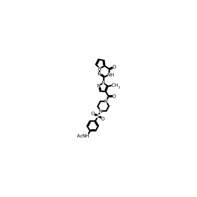 CC(=O)Nc1ccc(S(=O)(=O)N2CCN(C(=O)c3cnn(-c4nn5cccc5c(=O)[nH]4)c3C)CC2)cc1